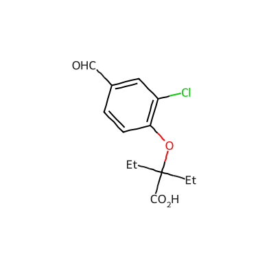 CCC(CC)(Oc1ccc(C=O)cc1Cl)C(=O)O